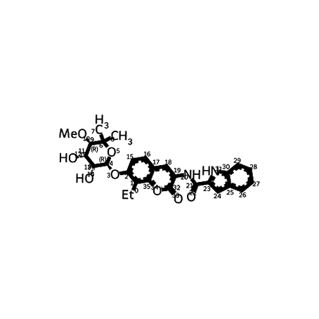 CCc1c(O[C@@H]2OC(C)(C)[C@H](OC)[C@@H](O)[C@H]2O)ccc2cc(NC(=O)c3cc4ccccc4[nH]3)c(=O)oc12